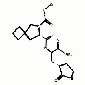 COC(=O)C(C[C@@H]1CCNC1=O)NC(=O)[C@@H]1CC2(CCC2)CN1C(=O)OC(C)(C)C